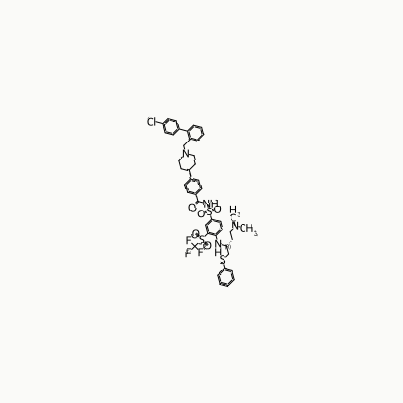 CN(C)CC[C@H](CSc1ccccc1)Nc1ccc(S(=O)(=O)NC(=O)c2ccc(C3CCN(Cc4ccccc4-c4ccc(Cl)cc4)CC3)cc2)cc1S(=O)(=O)C(F)(F)F